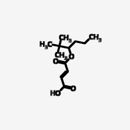 CCCC(OC(=O)C=CC(=O)O)C(C)(C)C